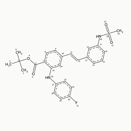 CC(C)(C)OC(=O)c1ccc(C=Cc2cccc(NS(C)(=O)=O)c2)cc1Nc1ccc(F)cc1